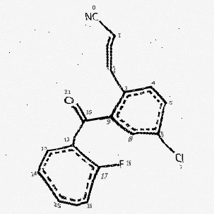 N#CC=Cc1ccc(Cl)cc1C(=O)c1ccccc1F